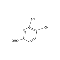 N#Cc1ccc(C=O)nc1S